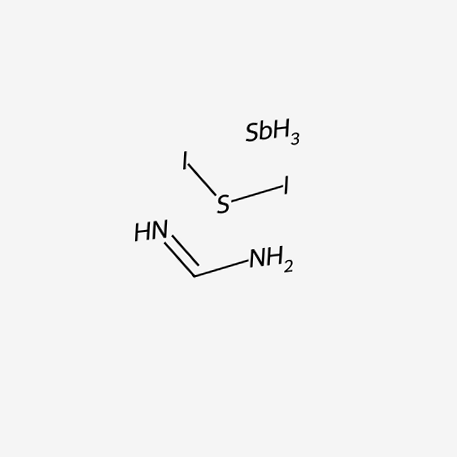 ISI.N=CN.[SbH3]